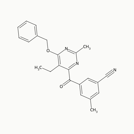 CCc1c(OCc2ccccc2)nc(C)nc1C(=O)c1cc(C)cc(C#N)c1